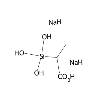 CC(C(=O)O)[Si](O)(O)O.[NaH].[NaH]